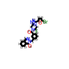 O=C(c1cc(Cn2ncc3ccccc3c2=O)ccc1F)N1CCn2c(nnc2-c2ccc(Br)o2)C1